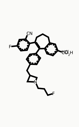 Cl.N#Cc1cc(F)ccc1C1=C(c2ccc(CC3CN(CCCF)C3)cc2)c2ccc(C(=O)O)cc2CCC1